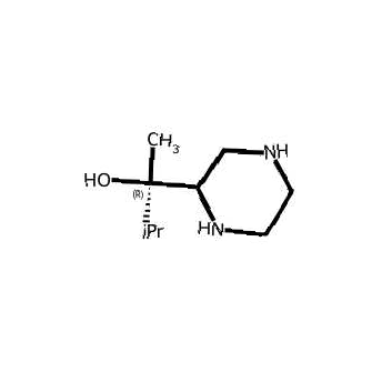 CC(C)[C@@](C)(O)C1CNCCN1